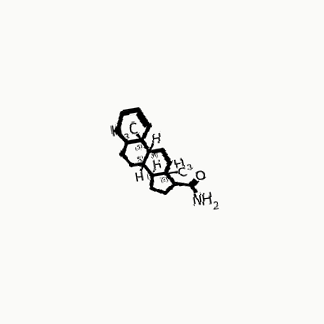 C[C@]12C=CCCC1CC[C@@H]1[C@H]2CC[C@]2(C)C(C(N)=O)CC[C@@H]12